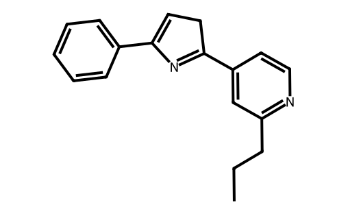 CCCc1cc(C2=NC(c3ccccc3)=CC2)ccn1